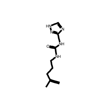 C=C(C)CCCNC(=O)Nc1nc[nH]n1